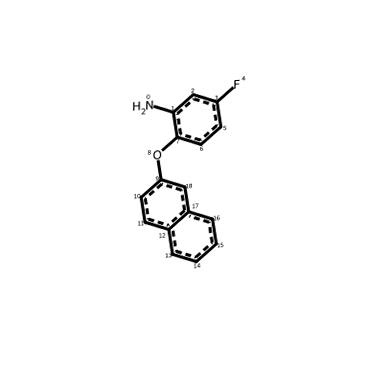 Nc1cc(F)ccc1Oc1ccc2ccccc2c1